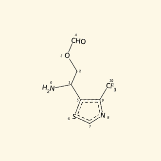 NC(COC=O)c1scnc1C(F)(F)F